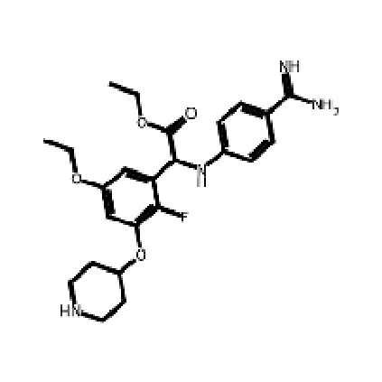 CCOC(=O)C(Nc1ccc(C(=N)N)cc1)c1cc(OCC)cc(OC2CCNCC2)c1F